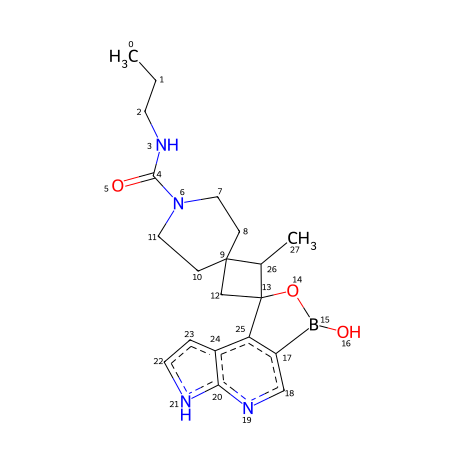 CCCNC(=O)N1CCC2(CC1)CC1(OB(O)c3cnc4[nH]ccc4c31)C2C